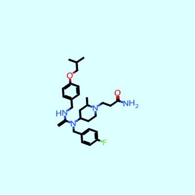 C=C(NCc1ccc(OCC(C)C)cc1)N(Cc1ccc(F)cc1)C1CCN(CCC(N)=O)C(C)C1